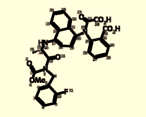 COC(=O)N(Cc1ccccc1F)C(=O)[C@H](C)Nc1ccc(N(C(=O)C(=O)O)c2ccccc2C(=O)O)c2ccccc12